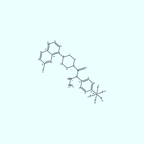 NNC(C(=O)C1CCC(c2ccnc3ccc(F)cc23)CC1)c1ccc(S(F)(F)(F)(F)F)cc1